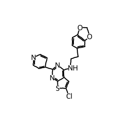 Clc1cc2c(NCCc3ccc4c(c3)OCO4)nc(-c3ccncc3)nc2s1